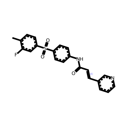 Cc1ccc(S(=O)(=O)c2ccc(NC(=O)/C=C/c3cccnc3)cc2)cc1F